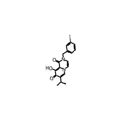 CC(C)c1cn2ccn(Cc3cccc(I)c3)c(=O)c2c(O)c1=O